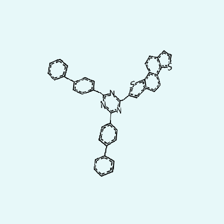 c1ccc(-c2ccc(-c3nc(-c4ccc(-c5ccccc5)cc4)nc(-c4cc5ccc6c(ccc7ccsc76)c5s4)n3)cc2)cc1